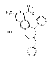 CC(=O)Oc1cc2c(cc1OC(C)=O)C(c1ccccc1)CN(Cc1ccccc1)CC2.Cl